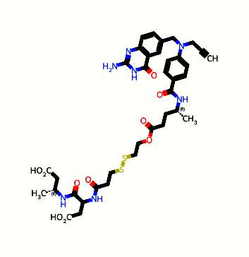 C#CCN(Cc1ccc2nc(N)[nH]c(=O)c2c1)c1ccc(C(=O)N[C@H](C)CCC(=O)OCCSSCCC(=O)NC(CC(=O)O)C(=O)N[C@H](C)CC(=O)O)cc1